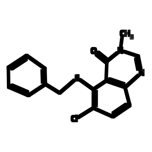 Cn1cnc2ccc(Cl)c(SCc3ccccc3)c2c1=O